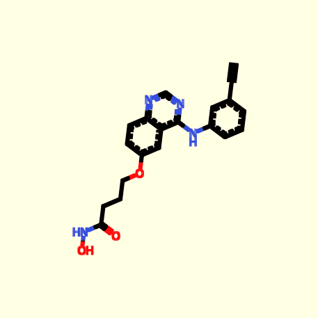 C#Cc1cccc(Nc2ncnc3ccc(OCCCC(=O)NO)cc23)c1